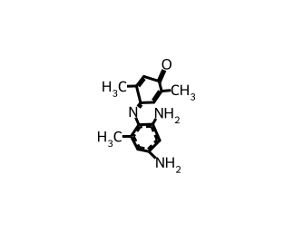 CC1=CC(=Nc2c(C)cc(N)cc2N)C(C)=CC1=O